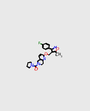 Cc1onc(-c2ccc(F)cc2)c1COc1ccc2c(n1)CCN(C(=O)N1CCCC1)C2